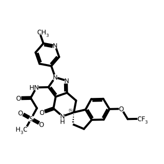 Cc1ccc(-n2nc3c(c2NC(=O)CS(C)(=O)=O)C(=O)N[C@@]2(CCc4cc(OCC(F)(F)F)ccc42)C3)cn1